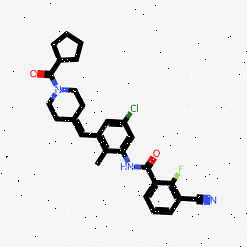 Cc1c(C=C2CCN(C(=O)C3CCCC3)CC2)cc(Cl)cc1NC(=O)c1cccc(C#N)c1F